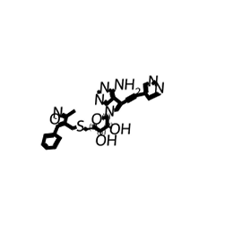 Cc1noc(-c2ccccc2)c1CSC[C@H]1O[C@@H](n2cc(C#Cc3ccnnc3)c3c(N)ncnc32)[C@H](O)[C@@H]1O